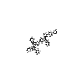 c1ccc(-c2ccc(-c3cccc(-n4c5ccc(-c6ccc7c(c6)n6c8ccccc8nc6n7-c6nc(-c7ccccc7)nc(-c7ccccc7)n6)cc5n5c6ccccc6nc45)c3)cc2)cc1